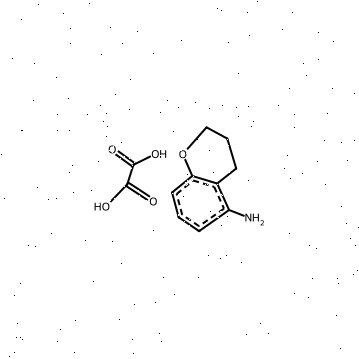 Nc1cccc2c1CCCO2.O=C(O)C(=O)O